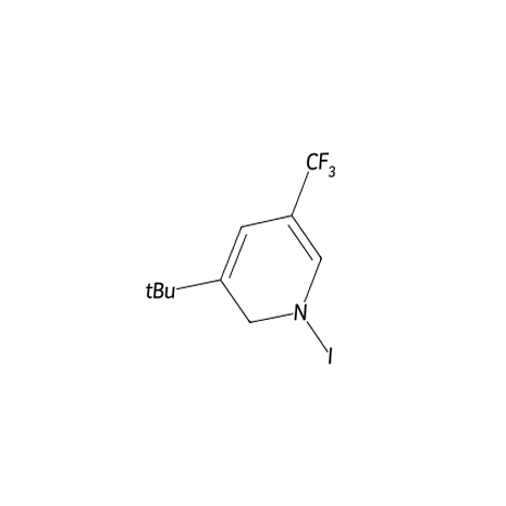 CC(C)(C)C1=CC(C(F)(F)F)=CN(I)C1